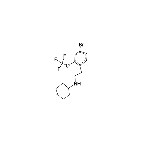 FC(F)(F)Oc1cc(Br)ccc1CCNC1CC[CH]CC1